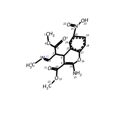 C/N=C/C(C(=O)OC)C1C(C(=O)OC)=C(N)Oc2ccc([N+](=O)O)cc21